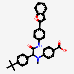 CN(c1ccc(C(=O)O)cc1)C(C(=O)Nc1ccc(-c2cc3ccccc3o2)cc1)c1ccc(C(C)(C)C)cc1